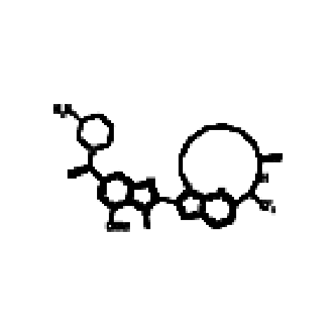 COc1cc(C(=O)N2CCC[C@@H](N)C2)cc2nc(-c3cc4ccc5nc4n3CCCCCCCC(=O)NC5C(F)(F)F)n(C)c12